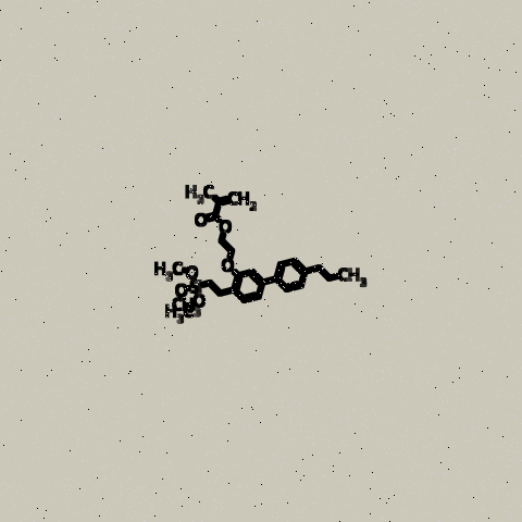 C=C(C)C(=O)OCCOc1cc(-c2ccc(CCC)cc2)ccc1CC[Si](OC)(OC)OC